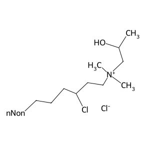 CCCCCCCCCCCCC(Cl)CC[N+](C)(C)CC(C)O.[Cl-]